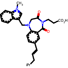 CC(C)CC=Cc1ccc2c(c1)C(=O)N(CCC(=O)O)C(=O)CN2Cc1cn(C)c2ccccc12